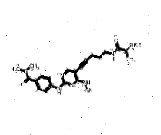 CCCNc1nc(Nc2ccc(C(=O)N(C)C)cc2)ncc1C#CCCCNC(=O)[C@H](C)NC